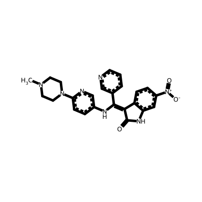 CN1CCN(c2ccc(N/C(=C3\C(=O)Nc4cc([N+](=O)[O-])ccc43)c3cccnc3)cn2)CC1